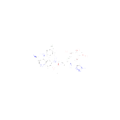 CCOc1cc2ncc(C#N)c(Nc3ccc(F)c(Cl)c3)c2cc1NC(=O)/C=C/CNC(c1c[nH]nn1)C1OC(CO)C(O)C(O)C1F